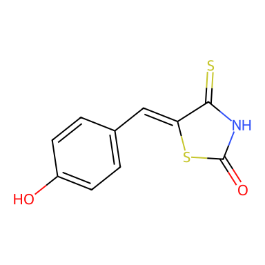 O=C1NC(=S)C(=Cc2ccc(O)cc2)S1